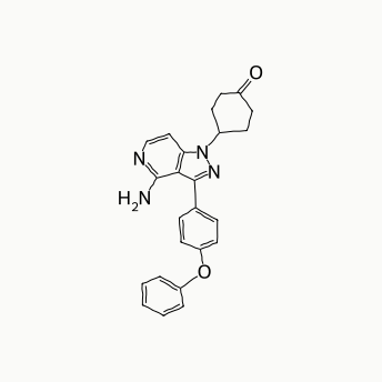 Nc1nccc2c1c(-c1ccc(Oc3ccccc3)cc1)nn2C1CCC(=O)CC1